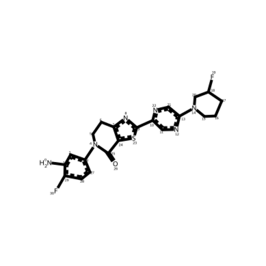 Nc1cc(N2CCc3nc(-c4cnc(N5CCCC(F)C5)cn4)sc3C2=O)ccc1F